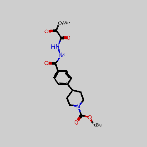 COC(=O)C(=O)NNC(=O)c1ccc(C2CCN(C(=O)OC(C)(C)C)CC2)cc1